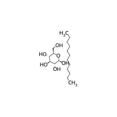 OC[C@H]1O[C@@H](O)[C@H](O)[C@@H](O)[C@@H]1O.[CH2]CCCCCCCCCCC